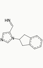 N=Cc1cncn1C1Cc2ccccc2C1